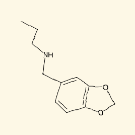 CCCNCc1ccc2c(c1)OCO2